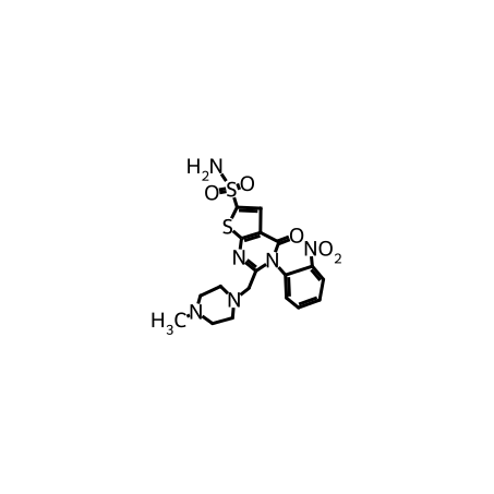 CN1CCN(Cc2nc3sc(S(N)(=O)=O)cc3c(=O)n2-c2ccccc2[N+](=O)[O-])CC1